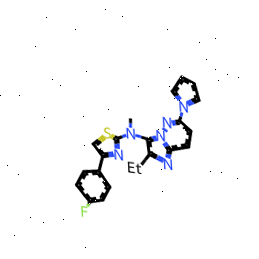 CCc1nc2ccc(-n3cccc3)nn2c1N(C)c1nc(-c2ccc(F)cc2)cs1